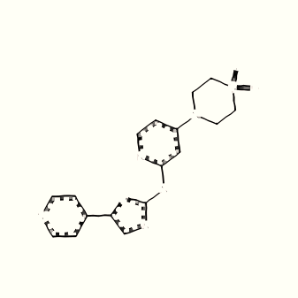 O=S1(=O)CCN(c2ccnc(Nc3ncc(-c4ccncc4)s3)c2)CC1